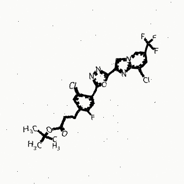 CC(C)(C)OC(=O)CCc1cc(Cl)c(-c2nnc(-c3cn4cc(C(F)(F)F)cc(Cl)c4n3)o2)cc1F